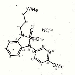 CNCCCN1c2ccccc2N(c2ccc(OC)nc2)S1(=O)=O.Cl